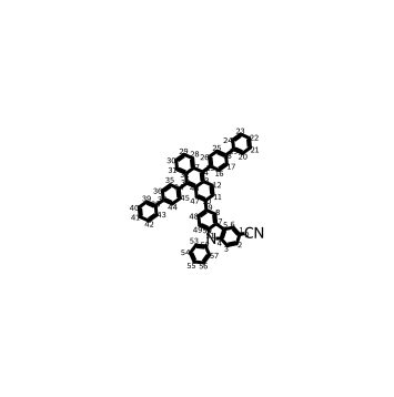 N#Cc1ccc2c(c1)c1cc(-c3ccc4c(-c5ccc(-c6ccccc6)cc5)c5ccccc5c(-c5ccc(-c6ccccc6)cc5)c4c3)ccc1n2-c1ccccc1